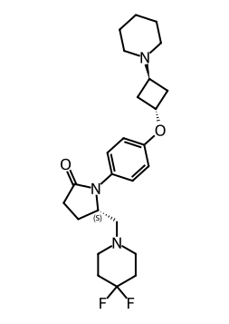 O=C1CC[C@@H](CN2CCC(F)(F)CC2)N1c1ccc(O[C@H]2C[C@H](N3CCCCC3)C2)cc1